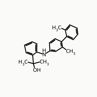 Cc1ccccc1-c1ccc(Nc2ccccc2C(C)(C)O)cc1C